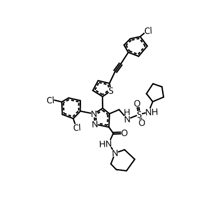 O=C(NN1CCCCC1)c1nn(-c2ccc(Cl)cc2Cl)c(-c2ccc(C#Cc3ccc(Cl)cc3)s2)c1CNS(=O)(=O)NC1CCCC1